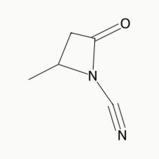 CC1CC(=O)N1C#N